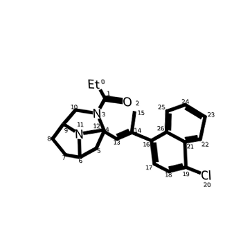 CCC(=O)N1CCC2CCC(C1)N2C/C=C(\C)c1ccc(Cl)c2ccccc12